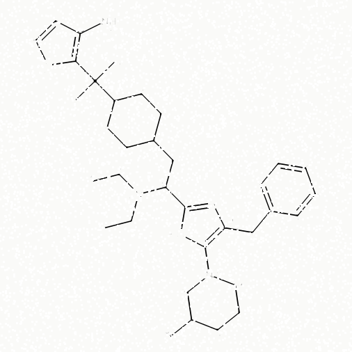 CCN(CC)C(CC1CCC(C(C)(C)c2sccc2N)CC1)c1nc(Cc2ccccc2)c(N2CCCC(C)C2)o1